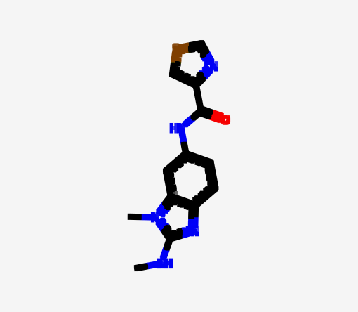 CNc1nc2ccc(NC(=O)c3cscn3)cc2n1C